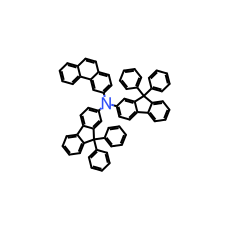 c1ccc(C2(c3ccccc3)c3ccccc3-c3ccc(N(c4ccc5c(c4)C(c4ccccc4)(c4ccccc4)c4ccccc4-5)c4ccc5ccc6ccccc6c5c4)cc32)cc1